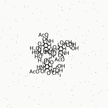 CC(=O)OCC(=O)Nc1c(I)c(C(=O)N(C)CCN(CCN(C)C(=O)c2c(I)c(NC(=O)COC(C)=O)c(I)c(C(=O)N(C)CC(O)CO)c2I)CCN(C)C(=O)c2c(I)c(NC(=O)COC(C)=O)c(I)c(C(=O)N(C)CC(O)CO)c2I)c(I)c(C(=O)N(C)CC(O)CO)c1I